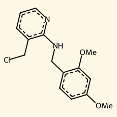 COc1ccc(CNc2ncccc2CCl)c(OC)c1